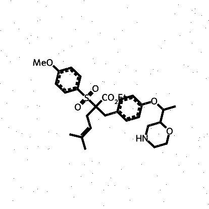 CCOC(=O)C(CC=C(C)C)(Cc1ccc(OC(C)C2CNCCO2)cc1)S(=O)(=O)c1ccc(OC)cc1